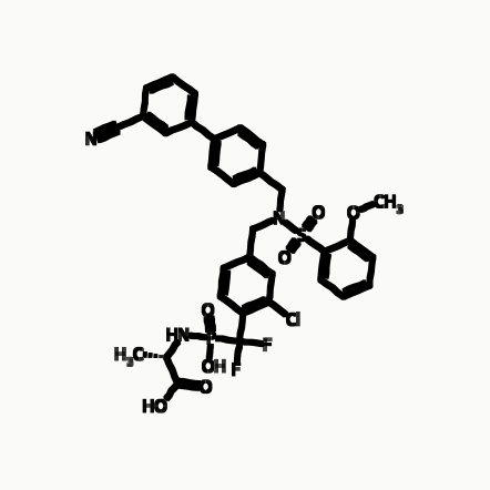 COc1ccccc1S(=O)(=O)N(Cc1ccc(-c2cccc(C#N)c2)cc1)Cc1ccc(C(F)(F)P(=O)(O)N[C@@H](C)C(=O)O)c(Cl)c1